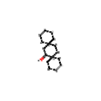 O=C1CC2(CCCCC2)CCC12CCCCC2